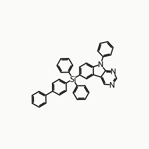 c1ccc(-c2ccc([Si](c3ccccc3)(c3ccccc3)c3ccc4c(c3)c3cncnc3n4-c3ccccc3)cc2)cc1